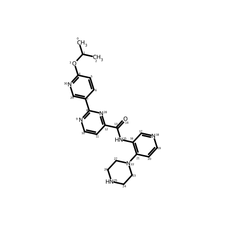 CC(C)Oc1ccc(-c2nccc(C(=O)Nc3cnccc3N3CCNCC3)n2)cn1